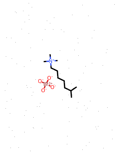 CC(C)CCCCC[N+](C)(C)C.[O-][Br+3]([O-])([O-])[O-]